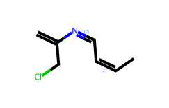 C=C(CCl)/N=C\C=C/C